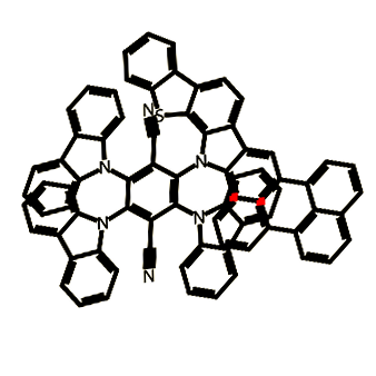 N#Cc1c(-n2c3ccccc3c3ccccc32)c(-n2c3ccccc3c3ccccc32)c(C#N)c(-n2c3ccc(-c4cccc5cccc(-c6ccccc6)c45)cc3c3ccc4c5ccccc5sc4c32)c1-n1c2ccccc2c2ccccc21